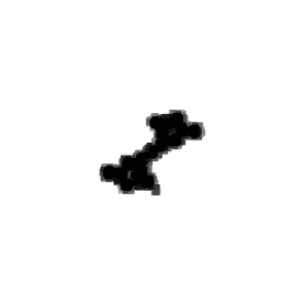 CC1(C)c2ccccc2-c2cc3c4c(n(-c5cccc(-c6cc(-c7ccccc7)cc(-c7ccccc7)c6)c5)c3cc21)=CCC(C1=CCC(C2C=c3c(n(-c5cccc(-c6cc(-c7ccccc7)cc(-c7ccccc7)c6)c5)c5cc6c(cc35)-c3ccccc3C6(C)C)=CC2)C=C1)C=4